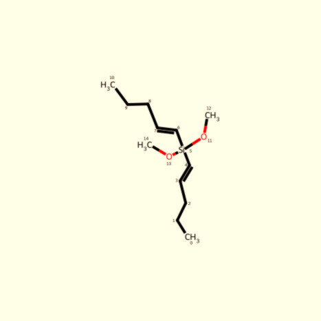 CCC/C=C/[Si](/C=C/CCC)(OC)OC